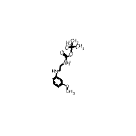 COc1cccc(NCCNC(=O)OC(C)(C)C)c1